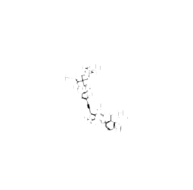 Cc1ccccc1C(C)OC(=O)Nc1c(C)noc1C#Cc1cc2oc(C3(C(=O)O)CN(S(C)(=O)=O)C3)nc2o1